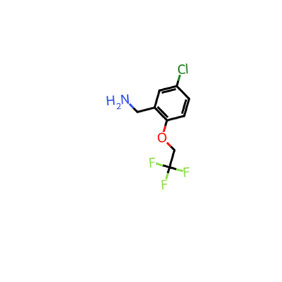 NCc1cc(Cl)ccc1OCC(F)(F)F